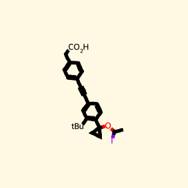 CC(I)OC1(c2ccc(C#Cc3ccc(CC(=O)O)cc3)cc2C(C)(C)C)CC1